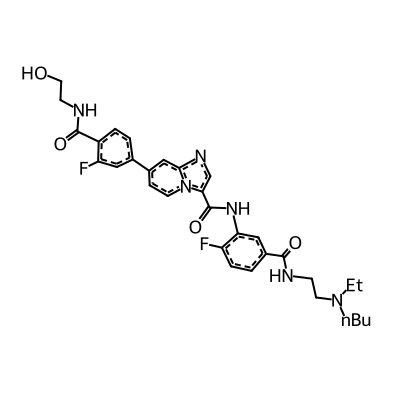 CCCCN(CC)CCNC(=O)c1ccc(F)c(NC(=O)c2cnc3cc(-c4ccc(C(=O)NCCO)c(F)c4)ccn23)c1